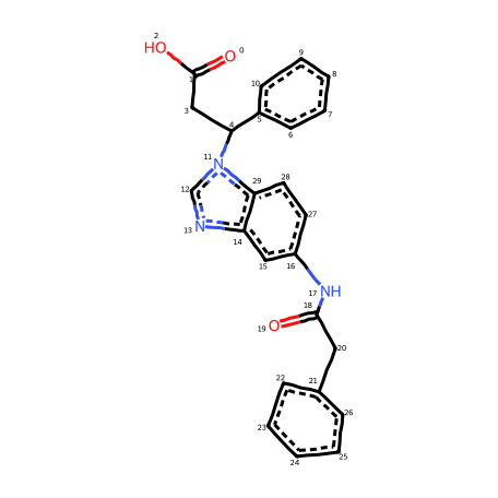 O=C(O)CC(c1ccccc1)n1cnc2cc(NC(=O)Cc3ccccc3)ccc21